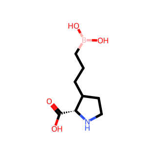 O=C(O)[C@H]1NCCC1CCCB(O)O